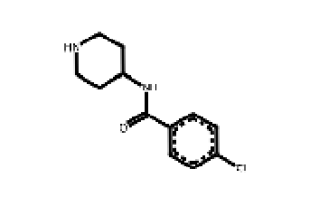 O=C(NC1CCNCC1)c1ccc(Cl)cc1